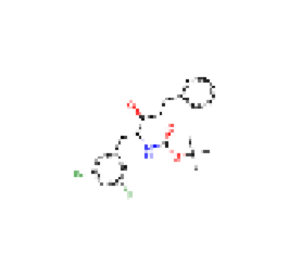 CC(C)(C)OC(=O)N[C@@H](Cc1cc(F)cc(F)c1)C(=O)CCc1ccccc1